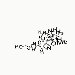 C#CCOc1cnc(C(=O)Nc2cnc(OC)c([C@@H](C)[C@H](C)[C@](C)(SC(=N)N)C(F)F)c2)cn1